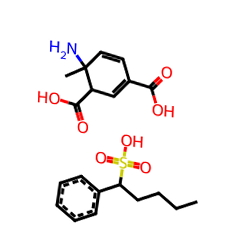 CC1(N)C=CC(C(=O)O)=CC1C(=O)O.CCCCC(c1ccccc1)S(=O)(=O)O